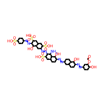 Nc1c(N=Nc2cc3c(O)c(N=Nc4ccc(S(=O)(=O)O)cc4)c(S(=O)(=O)O)cc3cc2S(=O)(=O)O)c(S(=O)(=O)O)cc2ccc(N=Nc3ccc4c(O)c(N=Nc5ccc(O)c(OC=O)c5)ccc4c3)c(O)c12